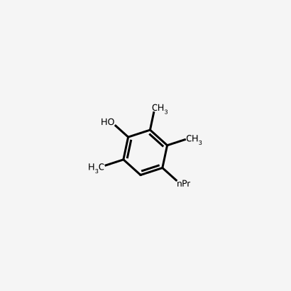 CCCc1cc(C)c(O)c(C)c1C